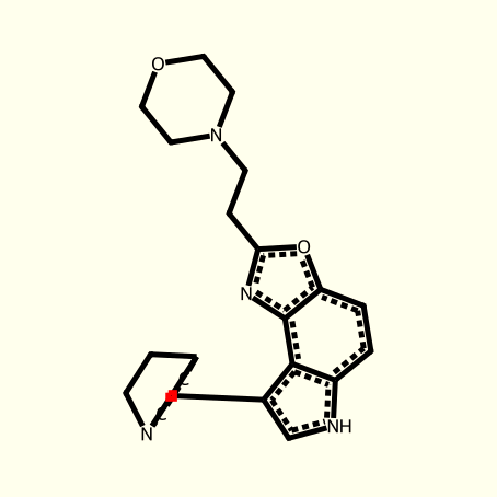 c1[nH]c2ccc3oc(CCN4CCOCC4)nc3c2c1C1CN2CCC1CC2